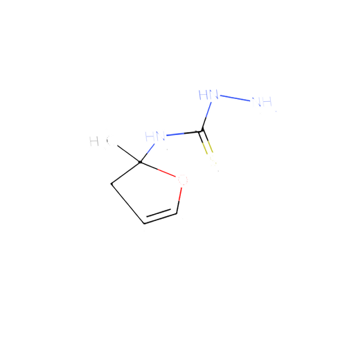 CC1(NC(=S)NN)CC=CO1